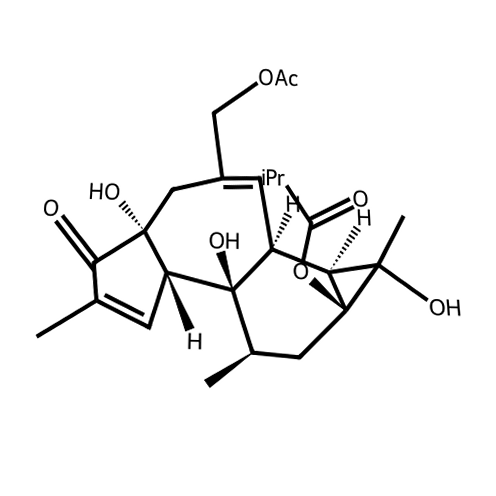 CC(=O)OCC1=C[C@H]2[C@H]3C(C)(O)[C@]3(OC(=O)C(C)C)C[C@@H](C)[C@]2(O)[C@@H]2C=C(C)C(=O)[C@@]2(O)C1